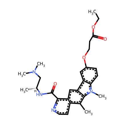 CCOC(=O)CCOc1ccc2c(c1)c1cc3c(C(=O)N[C@H](C)CN(C)C)nccc3c(C)c1n2C